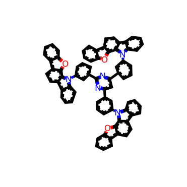 c1cc(-c2cc(-c3cccc(-n4c5ccccc5c5ccc6c7ccccc7oc6c54)c3)nc(-c3cccc(-n4c5ccccc5c5ccc6c7ccccc7oc6c54)c3)n2)cc(-n2c3ccccc3c3ccc4c5ccccc5oc4c32)c1